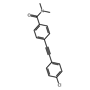 CN(C)C(=O)c1ccc(C#Cc2ccc(Cl)cc2)cc1